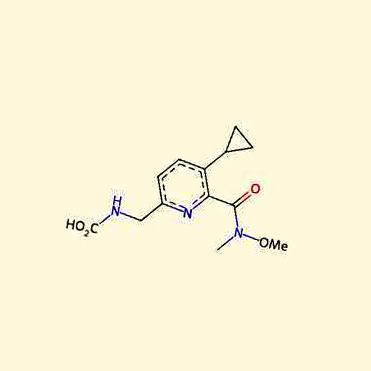 CON(C)C(=O)c1nc(CNC(=O)O)ccc1C1CC1